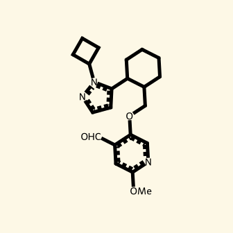 COc1cc(C=O)c(OCC2CCCCC2c2ccnn2C2CCC2)cn1